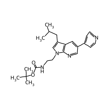 CC(C)Cc1cn(CCNC(=O)OC(C)(C)C)c2ncc(-c3ccncc3)cc12